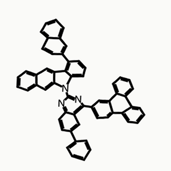 c1ccc(-c2ccc3nc(-n4c5cc6ccccc6cc5c5c(-c6ccc7ccccc7c6)cccc54)nc(-c4ccc5c6ccccc6c6ccccc6c5c4)c3c2)cc1